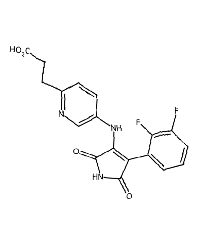 O=C(O)CCc1ccc(NC2=C(c3cccc(F)c3F)C(=O)NC2=O)cn1